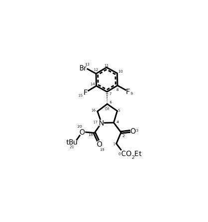 CCOC(=O)CC(=O)C1C[C@@H](c2c(F)ccc(Br)c2F)CN1C(=O)OC(C)(C)C